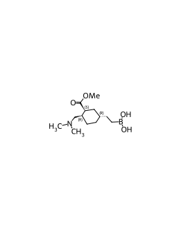 COC(=O)[C@H]1C[C@H](CCB(O)O)CC[C@H]1CN(C)C